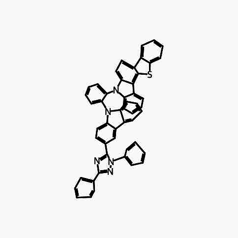 c1ccc(-c2nc(-c3ccc4c(c3)c3ccccc3n4-c3ccccc3-n3c4ccccc4c4c5sc6ccccc6c5ccc43)n(-c3ccccc3)n2)cc1